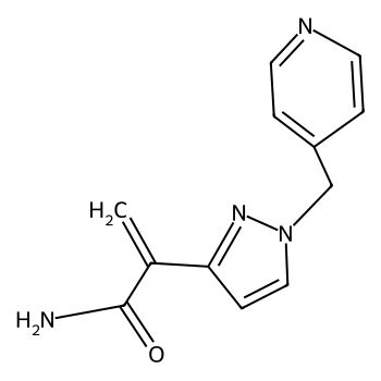 C=C(C(N)=O)c1ccn(Cc2ccncc2)n1